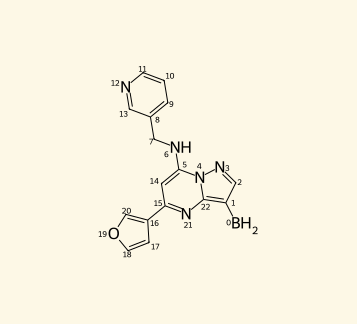 Bc1cnn2c(NCc3cccnc3)cc(-c3ccoc3)nc12